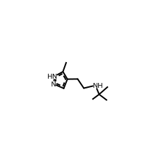 Cc1[nH]ncc1CCNC(C)(C)C